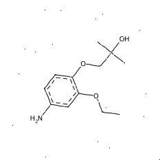 CCOc1cc(N)ccc1OCC(C)(C)O